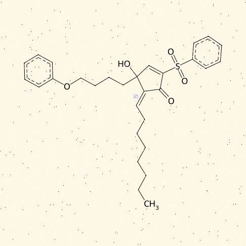 CCCCCCC/C=C1\C(=O)C(S(=O)(=O)c2ccccc2)=CC1(O)CCCCOc1ccccc1